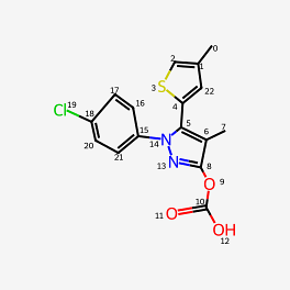 Cc1csc(-c2c(C)c(OC(=O)O)nn2-c2ccc(Cl)cc2)c1